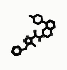 Cc1c(C(=O)N[C@@H]2COc3cccc(N4CCN(C)CC4)c3C2)nnn1Cc1ccccc1